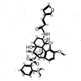 COc1ccc2c3c1O[C@H]1[C@H](NC(=O)/C=C/c4ccoc4)CC[C@@]4(O)[C@@H](C2)N(S(=O)(=O)c2ccccc2N(C)C)CC[C@]314